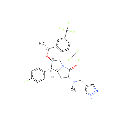 C[C@@H](O[C@H]1CN2C(=O)C(N(C)Cc3cn[nH]c3)C[C@H]2[C@@H]1c1ccc(F)cc1)c1cc(C(F)(F)F)cc(C(F)(F)F)c1